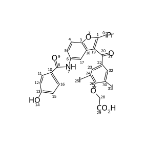 CC(C)c1oc2ccc(NC(=O)c3ccc(O)cc3)cc2c1C(=O)c1cc(I)c(OCC(=O)O)c(I)c1